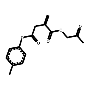 C=C(CC(=O)Oc1ccc(C)cc1)C(=O)OCC(C)=O